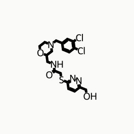 O=C(CSc1ccc(CO)nn1)NCC1CN(Cc2ccc(Cl)c(Cl)c2)CCO1